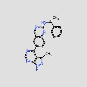 Cc1n[nH]c2ncnc(-c3ccc4nc(N[C@H](C)c5ccccc5)ncc4c3)c12